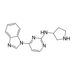 c1ccc2c(c1)ncn2-c1ccnc(NC2CCNC2)n1